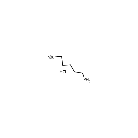 CCCCCCCCCP.Cl